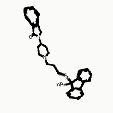 CCCC1(SCCCN2CCC(N3Cc4ccccc4C3=O)CC2)c2ccccc2-c2ccccc21